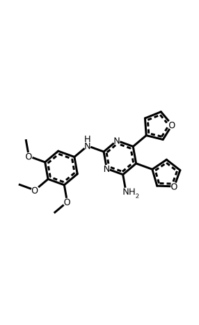 COc1cc(Nc2nc(N)c(-c3ccoc3)c(-c3ccoc3)n2)cc(OC)c1OC